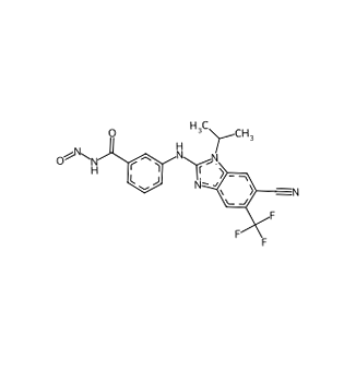 CC(C)n1c(Nc2cccc(C(=O)NN=O)c2)nc2cc(C(F)(F)F)c(C#N)cc21